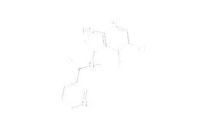 O=C(Nc1c[nH]c2ncc(Cl)c(F)c12)c1cccnc1